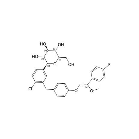 OC[C@H]1O[C@@H](c2ccc(Cl)c(Cc3ccc(OC[C@H]4OCc5cc(F)ccc54)cc3)c2)[C@H](O)[C@@H](O)[C@@H]1O